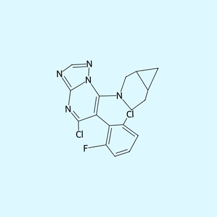 Fc1cccc(Cl)c1-c1c(Cl)nc2ncnn2c1N1CCC2CC2C1